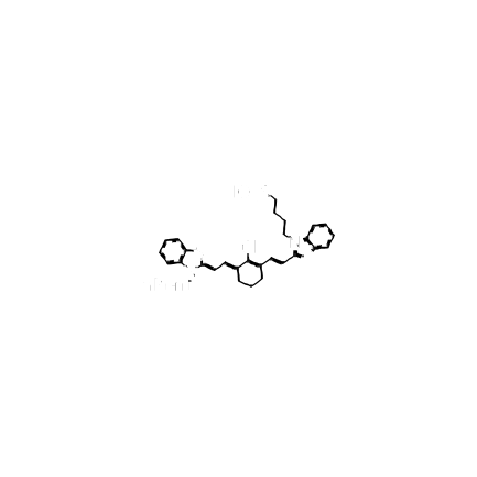 CCCCCN1/C(=C/C=C2\CCCC(/C=C/c3sc4ccccc4[n+]3CCCCS(=O)(=O)O)=C2Cl)Sc2ccccc21